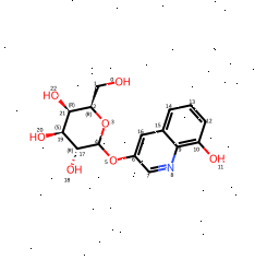 OC[C@H]1OC(Oc2cnc3c(O)cccc3c2)[C@H](O)[C@@H](O)[C@H]1O